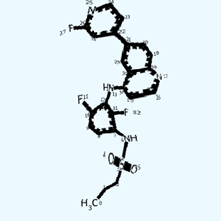 CCCS(=O)(=O)Nc1ccc(F)c(Nc2ccnc3ccc(-c4ccnc(F)c4)cc23)c1F